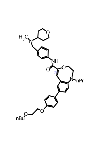 CCCCOCCOc1ccc(-c2ccc3c(c2)/C=C(/C(=O)Nc2ccc(CN(C)C4CCOCC4)cc2)CCCN3CCC)cc1